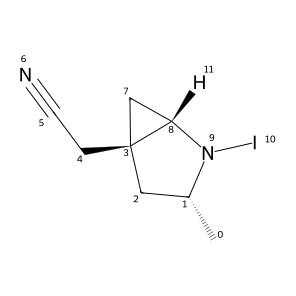 C[C@@H]1C[C@]2(CC#N)C[C@@H]2N1I